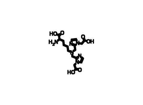 NC(CCCCN(Cc1nccn1CC(=O)O)Cc1nccn1CC(=O)O)C(=O)O